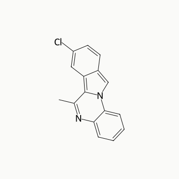 Cc1nc2ccccc2n2cc3ccc(Cl)cc3c12